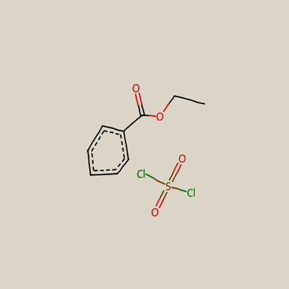 CCOC(=O)c1ccccc1.O=S(=O)(Cl)Cl